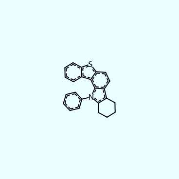 c1ccc(-n2c3c(c4ccc5sc6ccccc6c5c42)CCCC3)cc1